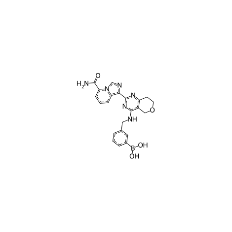 NC(=O)c1cccc2c(-c3nc4c(c(NCc5cccc(B(O)O)c5)n3)COCC4)ncn12